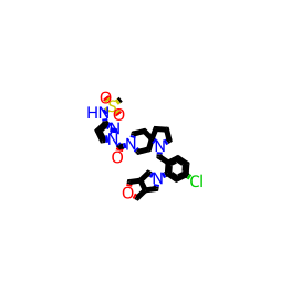 CS(=O)(=O)Nc1ccn(C(=O)N2CCC3(CCCN3Cc3ccc(Cl)cc3N3CC4COCC4C3)CC2)n1